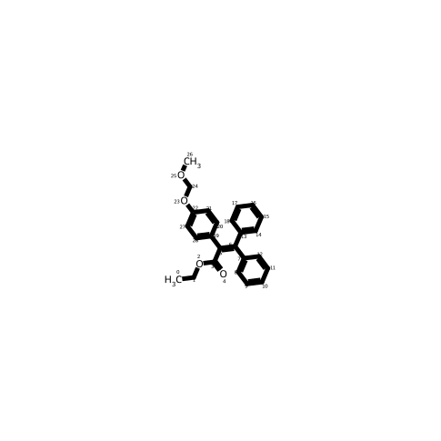 CCOC(=O)C(=C(c1ccccc1)c1ccccc1)c1ccc(OCOC)cc1